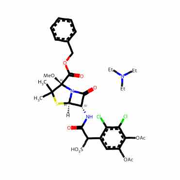 CCN(CC)CC.CO[C@@]1(C(=O)OCc2ccccc2)N2C(=O)[C@H](NC(=O)C(c3cc(OC(C)=O)c(OC(C)=O)c(Cl)c3Cl)S(=O)(=O)O)[C@H]2SC1(C)C